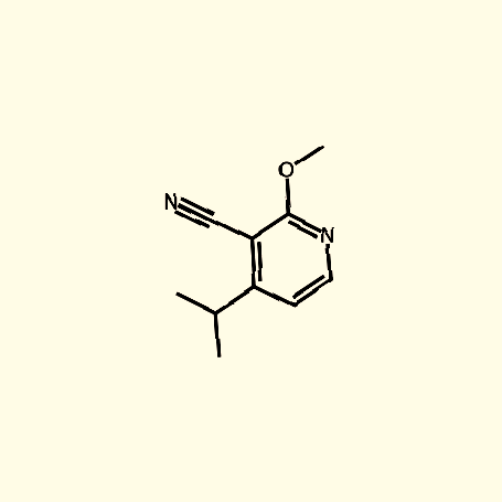 COc1nccc(C(C)C)c1C#N